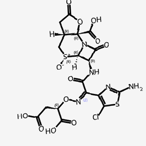 Nc1nc(/C(=N/O[C@H](CC(=O)O)C(=O)O)C(=O)N[C@@H]2C(=O)N3[C@@H]2[S@@+]([O-])C[C@@H]2CC(=O)O[C@@]23C(=O)O)c(Cl)s1